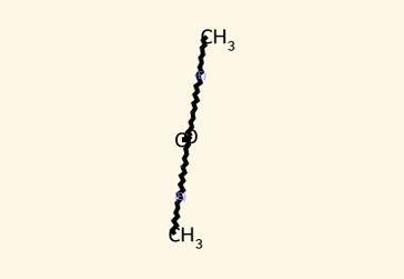 CCCCCCCC/C=C/CCCCCCCCCCCCOC(=O)CCCCCCCCCCC/C=C/CCCCCCCC